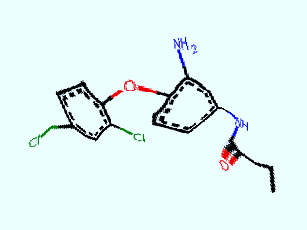 CCC(=O)Nc1ccc(Oc2ccc(Cl)cc2Cl)c(N)c1